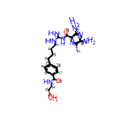 N=C(NCCCCc1ccc(C(=O)NCCO)cc1)NC(=O)c1nc(I)c(N)nc1N